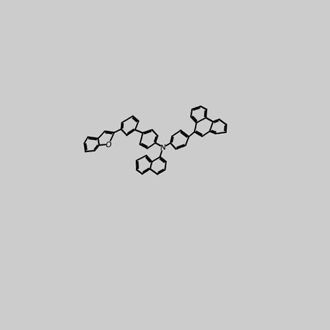 c1cc(-c2ccc(N(c3ccc(-c4cc5ccccc5c5ccccc45)cc3)c3cccc4ccccc34)cc2)cc(-c2cc3ccccc3o2)c1